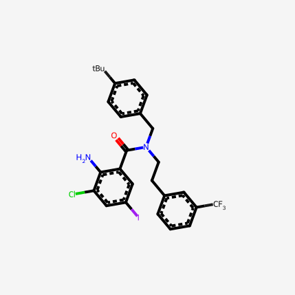 CC(C)(C)c1ccc(CN(CCc2cccc(C(F)(F)F)c2)C(=O)c2cc(I)cc(Cl)c2N)cc1